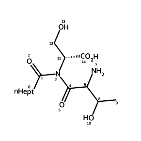 CCCCCCCC(=O)N(C(=O)C(N)C(C)O)[C@H](CO)C(=O)O